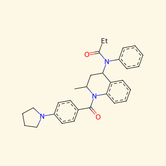 CCC(=O)N(c1ccccc1)C1CC(C)N(C(=O)c2ccc(N3CCCC3)cc2)c2ccccc21